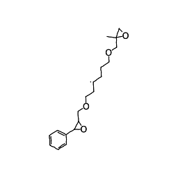 CC1(COCCC[CH]CCOCC2OC2c2ccccc2)CO1